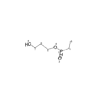 CC[PH](=O)OCCCO